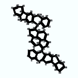 c1ccc2c(c1)Sc1cc3c(cc1N2c1ccc2ccc4c(N5c6ccccc6Sc6cc7c(cc65)sc5ccccc57)ccc5ccc1c2c54)sc1ccccc13